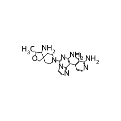 CC1OCC2(CCN(c3nc(N)c(-c4ccnc(N)c4Cl)c4nccn34)CC2)C1N